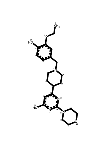 CCOc1cc(CN2CCC(c3cc(O)nc(N4CCOCC4)n3)CC2)ccc1O